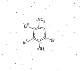 O=[N+]([O-])c1cc(Br)c(O)c(Br)c1Br